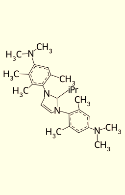 Cc1cc(N(C)C)cc(C)c1N1C=CN(c2c(C)cc(N(C)C)c(C)c2C)C1C(C)C